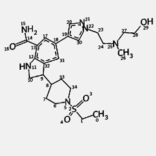 CCS(=O)(=O)N1CCC(C2CNc3c(C(N)=O)cc(-c4cnn(CCN(C)CCO)c4)cc32)CC1